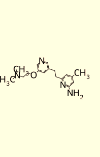 Cc1cc(N)nc(CCc2cncc(OCCN(C)C)c2)c1